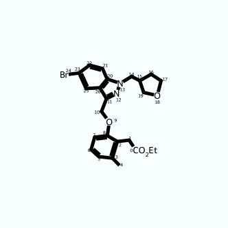 CCOC(=O)Cc1c(C)cccc1OCc1nn(CC2CCOC2)c2ccc(Br)cc12